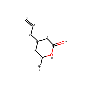 [2H]C1CC(CC=C)CC(=O)O1